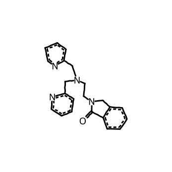 O=C1c2ccccc2CN1CCN(Cc1ccccn1)Cc1ccccn1